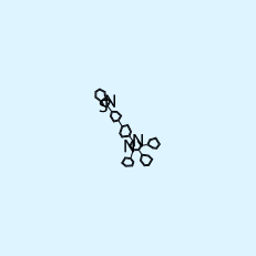 c1ccc(-c2nc(-c3ccc(-c4ccc(-c5nc6ccccc6s5)cc4)cc3)nc(-c3ccccc3)c2-c2ccccc2)cc1